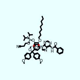 CCCCCCCCCO[C@@H]1[C@H](OP(OCCC#N)N(C(C)C)C(C)C)[C@@H](COC(c2ccccc2)(c2ccc(OC)cc2)c2ccc(OC)cc2)O[C@H]1n1cnc2c(NC(=O)c3ccccc3)ncnc21